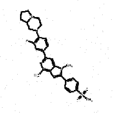 Cc1nc(-c2ccc(N3CCN4CCCC4C3)c(F)c2)cc2c1cc(-c1ccc(S(C)(=O)=O)cc1)n2C